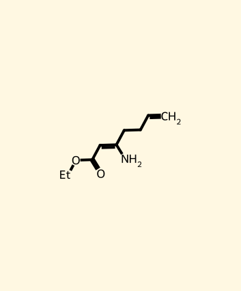 C=CCCC(N)=CC(=O)OCC